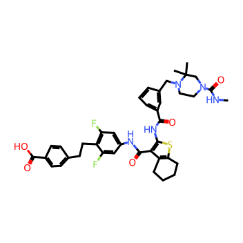 CNC(=O)N1CCN(Cc2cccc(C(=O)Nc3sc4c(c3C(=O)Nc3cc(F)c(CCc5ccc(C(=O)O)cc5)c(F)c3)CCCC4)c2)C(C)(C)C1